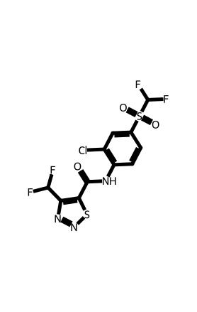 O=C(Nc1ccc(S(=O)(=O)C(F)F)cc1Cl)c1snnc1C(F)F